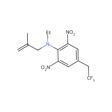 C=C(C)CN(CC)c1c([N+](=O)[O-])cc(CC(F)(F)F)cc1[N+](=O)[O-]